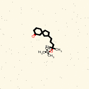 CCC(C)(CCCC1CCC2(CCCC(=O)C2)C1)O[Si](C)(C)C